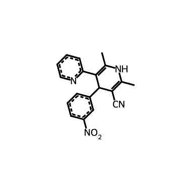 CC1=C(C#N)C(c2cccc([N+](=O)[O-])c2)C(c2ccccn2)=C(C)N1